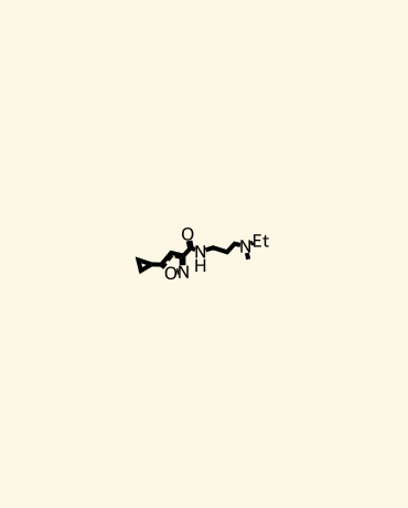 CCN(C)CCCNC(=O)c1cc(C2CC2)on1